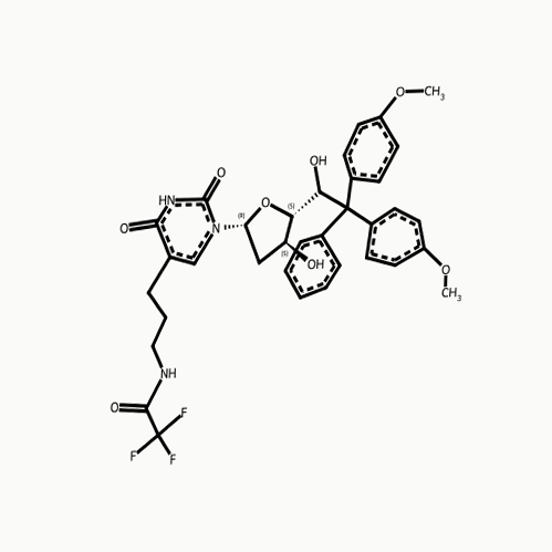 COc1ccc(C(c2ccccc2)(c2ccc(OC)cc2)C(O)[C@H]2O[C@@H](n3cc(CCCNC(=O)C(F)(F)F)c(=O)[nH]c3=O)C[C@@H]2O)cc1